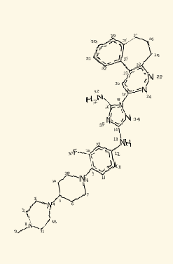 CN1CCN(C2CCN(c3ccc(Nc4nc(N)n(-c5cc6c(nn5)CCCc5ccccc5-6)n4)cc3F)CC2)CC1